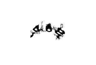 CCC(=O)Nc1cccc(C(=O)N[C@H]2CC[C@@H](Nc3cc(C(F)(F)F)nc4ccc(Cl)cc34)CC2)c1